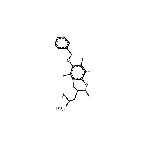 Cc1c(C)c2c(c(C)c1OCc1ccccc1)CC(C[C@H](N)C(=O)O)C(C)O2